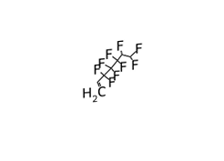 C=CC(F)(F)C(F)(F)C(F)(F)C(F)C(F)F